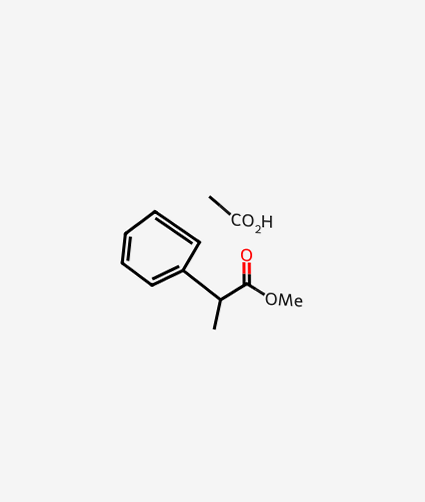 CC(=O)O.COC(=O)C(C)c1ccccc1